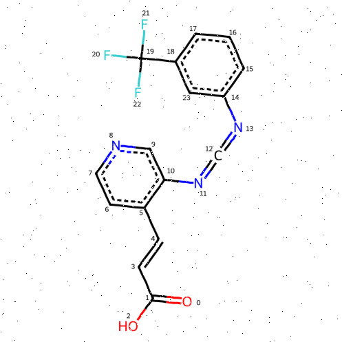 O=C(O)/C=C/c1ccncc1N=C=Nc1cccc(C(F)(F)F)c1